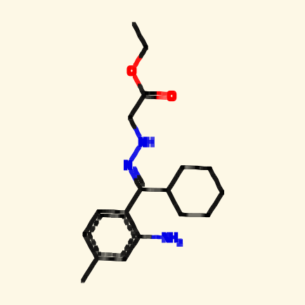 CCOC(=O)CNN=C(c1ccc(C)cc1N)C1CCCCC1